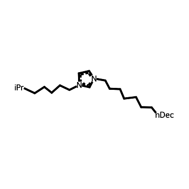 CCCCCCCCCCCCCCCCCn1cc[n+](CCCCCC(C)C)c1